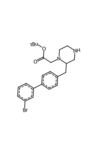 CC(C)(C)OC(=O)CN1CCNCC1Cc1ccc(-c2cccc(Br)c2)cc1